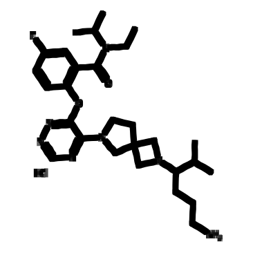 CCN(C(=O)c1cc(F)ccc1Oc1nncnc1N1CCC2(C1)CN(C(CCCN)C(C)C)C2)C(C)C.Cl